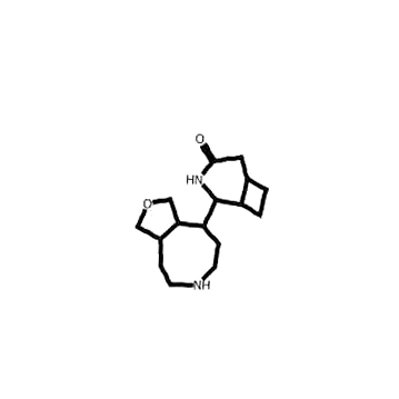 O=C1CC2CCC2C(C2CCNCCC3COCC32)N1